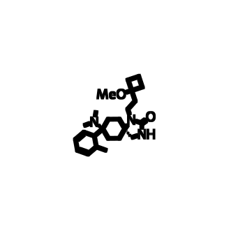 COC1(CCN2C(=O)NC[C@]23CC[C@](C2C=CC=CC2C)(N(C)C)CC3)CCC1